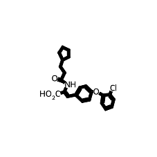 O=C(CCC1CCCC1)NC(=Cc1ccc(Oc2ccccc2Cl)cc1)C(=O)O